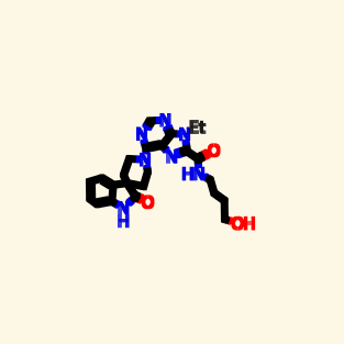 CCn1c(C(=O)NCCCCO)nc2c(N3CCC4(CC3)C(=O)Nc3ccccc34)ncnc21